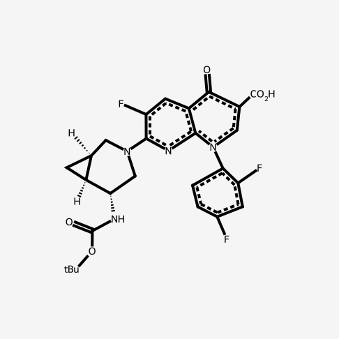 CC(C)(C)OC(=O)N[C@H]1CN(c2nc3c(cc2F)c(=O)c(C(=O)O)cn3-c2ccc(F)cc2F)C[C@@H]2C[C@@H]21